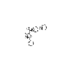 Cc1nc(-c2ccccc2)sc1C(=O)N1CCC(N2CCCCC2)CC1